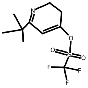 CC(C)(C)C1=NCCC(OS(=O)(=O)C(F)(F)F)=C1